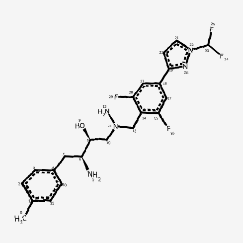 Cc1ccc(C[C@H](N)[C@@H](O)CN(N)Cc2c(F)cc(-c3ccn(C(F)F)n3)cc2F)cc1